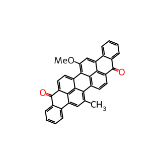 COc1cc2c3c(ccc4c5c(C)cc6c7c(ccc(c1c34)c75)C(=O)c1ccccc1-6)C(=O)c1ccccc1-2